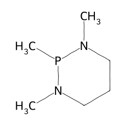 CN1CCCN(C)P1C